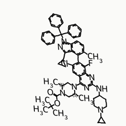 Cc1ccc2c(c(C3CC3)nn2C(c2ccccc2)(c2ccccc2)c2ccccc2)c1-c1c(Cl)cc2c(N3C[C@H](C)N(C(=O)OC(C)(C)C)C[C@@H]3C)nc(NC3CCN(C4CC4)CC3)nc2c1F